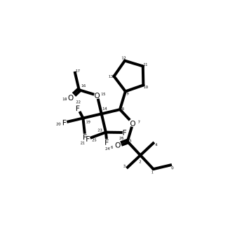 CCC(C)(C)C(=O)OC(C1CCCC1)C(OC(C)=O)(C(F)(F)F)C(F)(F)F